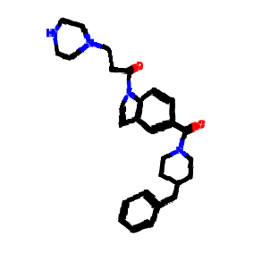 O=C(c1ccc2c(ccn2C(=O)CCN2CCNCC2)c1)N1CCC(Cc2ccccc2)CC1